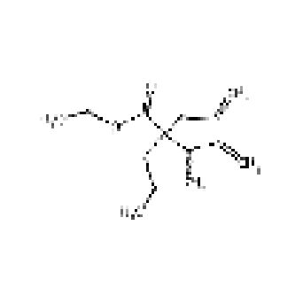 C=CCC(CCC)(C(=C)C=C)C(=O)OCC